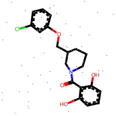 O=C(c1c(O)cccc1O)N1CCCC(COc2cccc(Cl)c2)C1